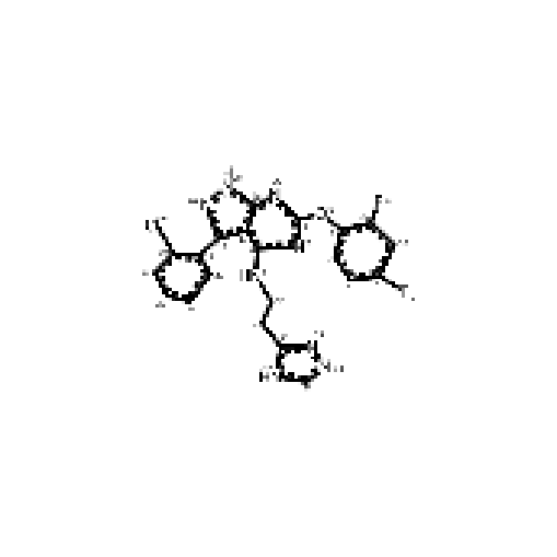 Fc1ccc(Oc2nc(NCCc3nnc[nH]3)c3c(-c4ccccc4Cl)n[nH]c3n2)c(F)c1